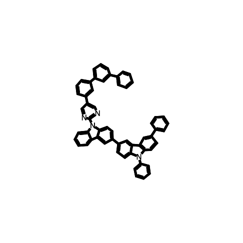 c1ccc(-c2cccc(-c3cccc(-c4cnc(-n5c6ccccc6c6cc(-c7ccc8c(c7)c7cc(-c9ccccc9)ccc7n8-c7ccccc7)ccc65)nc4)c3)c2)cc1